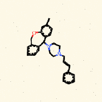 Cc1ccc2c(c1)OCc1ccccc1C2N1CCN(CC=Cc2ccccc2)CC1